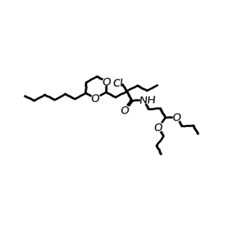 CCCCCCC1CCOC(CC(Cl)(CCC)C(=O)NCCC(OCCC)OCCC)O1